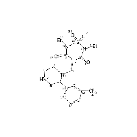 CCN1C(=O)C(=CN2CCNCC2c2cccc(C(F)(F)F)c2)C(=O)N(CC)S1(=O)=O